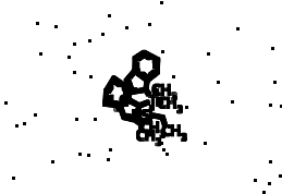 CC[SiH](CC)[Ti]([CH3])([CH3])([CH]1C(C)=Cc2ccccc21)[CH]1C(C)=Cc2ccccc21